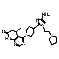 C[C@@H]1CC(=O)Nc2ncnc(N3CCC(c4nc(N)cn4CCN4CCCC4)CC3)c21